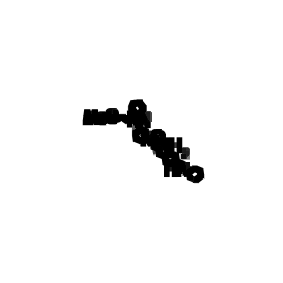 COCCCn1c([C@@H]2CCCN(C(=O)C[C@H](N)Cc3ccc(CNC4CCCCC4)cc3)C2)nc2ccccc21